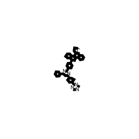 c1ccc(-c2cc(-c3ccc(-c4ncncn4)cc3)nc(-c3ccc(-c4cc5c6ccccc6c6ccccc6c5c5ccccc45)cc3)n2)cc1